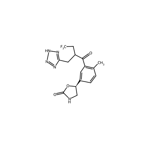 Cc1ccc([C@H]2CNC(=O)O2)cc1C(=O)C(Cc1nn[nH]n1)CC(F)(F)F